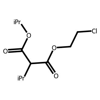 CC(C)OC(=O)C(C(=O)OCCCl)C(C)C